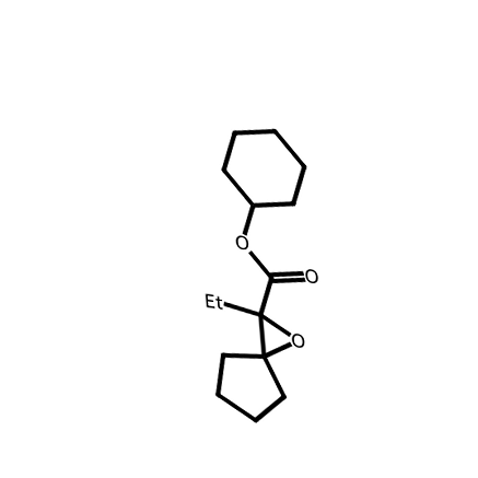 CCC1(C(=O)OC2CCCCC2)OC12CCCC2